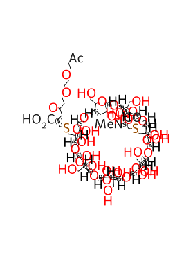 CN[C@H](CSCC1O[C@H]2O[C@@H]3C(CO)O[C@H](O[C@@H]4C(CO)O[C@H](O[C@@H]5C(CO)O[C@@H](O[C@@H]6C(CSC[C@@H](CC(=O)CCOCCOCCC(C)=O)C(=O)O)O[C@H](O[C@H]7CC(O)[C@@H](OC7CO)O[C@@H]7C(CO)O[C@@H](O[C@H]1[C@H](O)C2O)C(O)[C@H]7O)C(O)[C@H]6O)C(O)[C@H]5O)C(O)[C@H]4O)C(O)[C@H]3O)C(=O)O